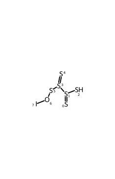 S=S(S)S(=S)SOI